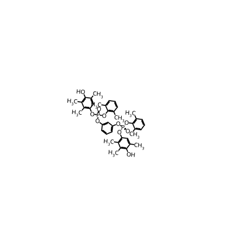 Cc1cc(OP(=O)(Oc2cccc(OP(=O)(Oc3cc(C)c(O)c(C)c3C)Oc3c(C)cccc3C)c2)Oc2c(C)cccc2C)c(C)c(C)c1O